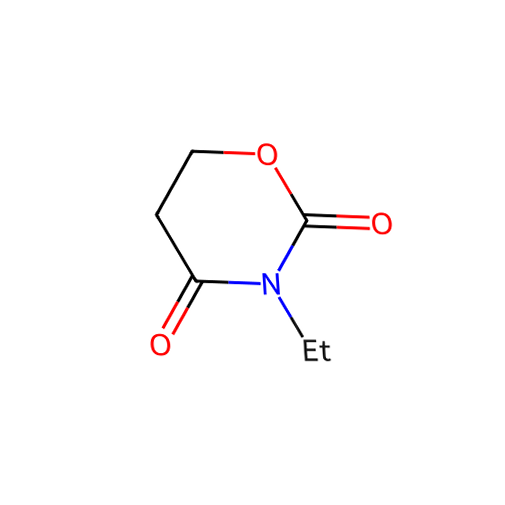 CCN1C(=O)CCOC1=O